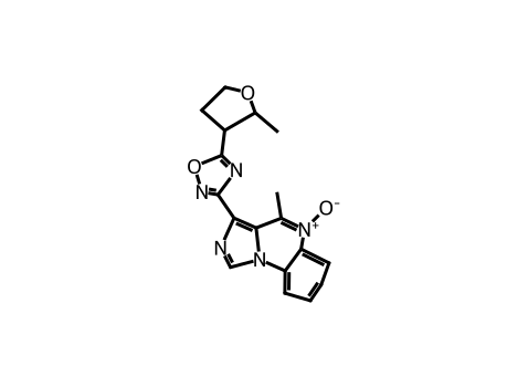 Cc1c2c(-c3noc(C4CCOC4C)n3)ncn2c2ccccc2[n+]1[O-]